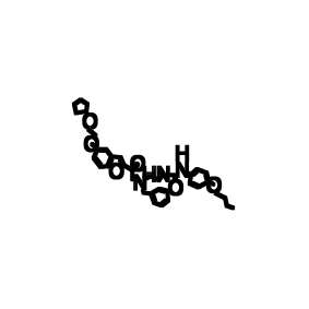 CCCCOc1ccc(NC(=O)NCCN(CC(=O)c2cc3cc(OCCOC4CCCC4)ccc3o2)Cc2ccccc2)cc1